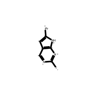 CC(C)c1cc2cnc(I)nc2[nH]1